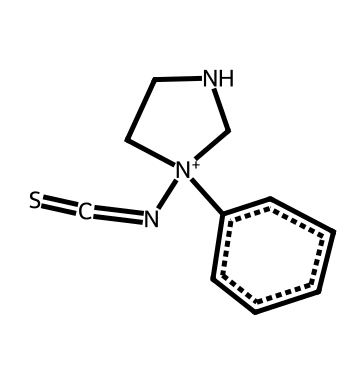 S=C=N[N+]1(c2ccccc2)CCNC1